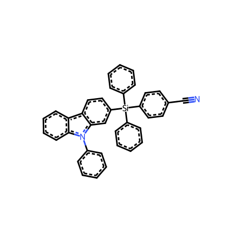 N#Cc1ccc([Si](c2ccccc2)(c2ccccc2)c2ccc3c4ccccc4n(-c4ccccc4)c3c2)cc1